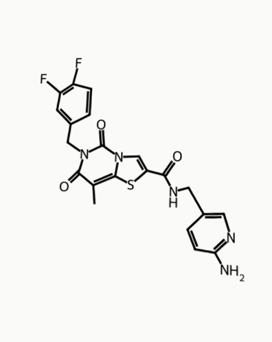 Cc1c(=O)n(Cc2ccc(F)c(F)c2)c(=O)n2cc(C(=O)NCc3ccc(N)nc3)sc12